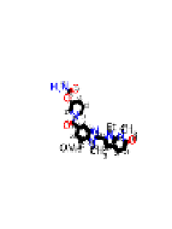 CCn1c(-c2nc3cc(C(=O)N4CCC[C@@H](OC(N)=O)C4)cc(OC)c3n2C)cc2ccc(=O)n(C)c21